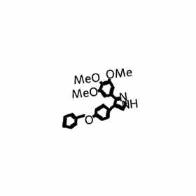 COc1cc(-c2n[nH]cc2-c2ccc(OCc3ccccc3)cc2)cc(OC)c1OC